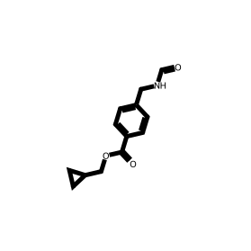 O=CNCc1ccc(C(=O)OCC2CC2)cc1